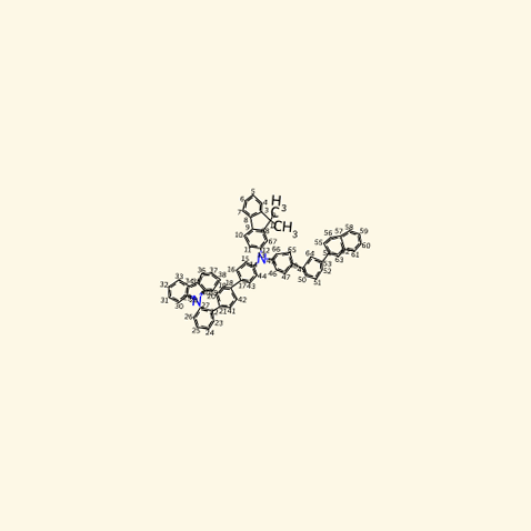 CC1(C)c2ccccc2-c2ccc(N(c3ccc(-c4ccc(-c5ccccc5-n5c6ccccc6c6ccccc65)cc4)cc3)c3ccc(-c4cccc(-c5ccc6ccccc6c5)c4)cc3)cc21